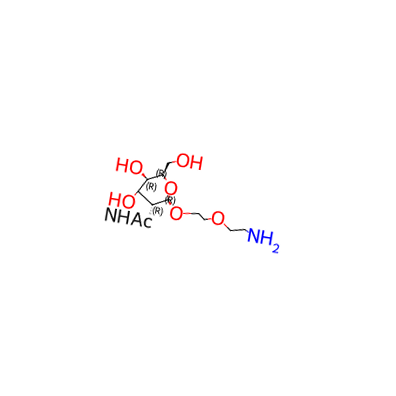 CC(=O)N[C@@H]1C(O)[C@@H](O)[C@@H](CO)O[C@H]1OCCOCCN